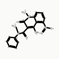 CN(C(=O)c1c(O)c2c([N+](=O)[O-])cccc2n(C)c1=O)c1ccccc1